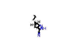 CCC[C@H]1[C@@H]2Cc3c(n[nH]c3C#N)[C@H]12